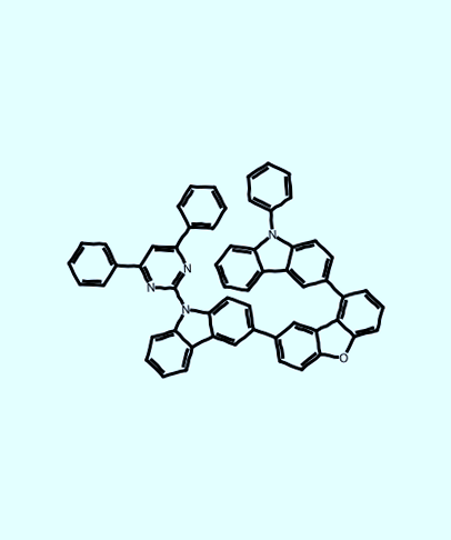 c1ccc(-c2cc(-c3ccccc3)nc(-n3c4ccccc4c4cc(-c5ccc6oc7cccc(-c8ccc9c(c8)c8ccccc8n9-c8ccccc8)c7c6c5)ccc43)n2)cc1